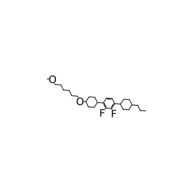 CCCC1CCC(c2ccc(C3CCC(OCCCCCCOC)CC3)c(F)c2F)CC1